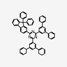 C1=CCCC(c2cc(-c3nc(-c4cc(-c5ccccc5)cc(-c5ccccc5)c4)nc(-c4ccc5c(c4)C(c4ccccc4)(c4ccccc4)c4ccccc4-5)n3)cc(C3C=CC=CC3)c2)=C1